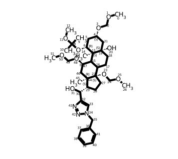 COCO[C@H]1C[C@@H](OC(C)(C)OC)[C@]2(C)C3C(CC[C@]2(O)C1)[C@@]1(OCOC)CC[C@H](C(O)c2cn(Cc4ccccc4)nn2)[C@@]1(C)C[C@H]3OCOC